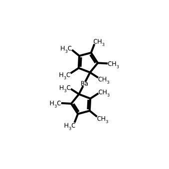 CC1=C(C)[C](C)([Ba][C]2(C)C(C)=C(C)C(C)=C2C)C(C)=C1C